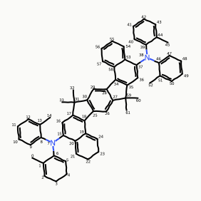 CC1=CCCC=C1N(c1ccccc1C)c1cc2c(c3c1=CCCC=3)-c1cc3c(cc1C2(C)C)-c1c(cc(N(c2ccccc2C)c2ccccc2C)c2ccccc12)C3(C)C